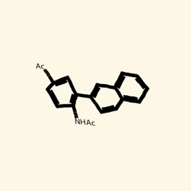 CC(=O)Nc1ccc(C(C)=O)cc1-c1ccc2ccccc2c1